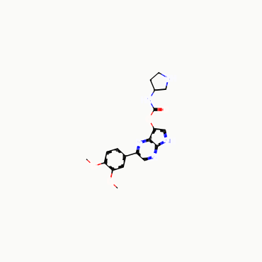 COc1ccc(-c2cnc3[nH]cc(OC(=O)NC4CCNC4)c3n2)cc1OC